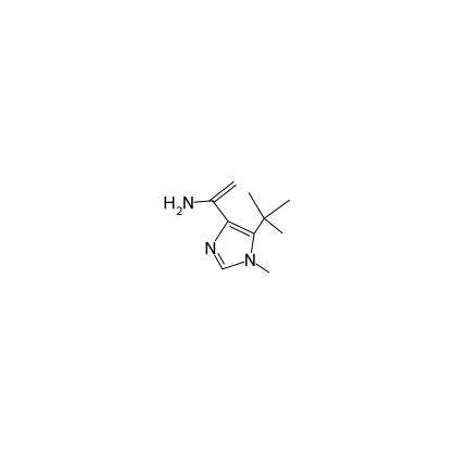 C=C(N)c1ncn(C)c1C(C)(C)C